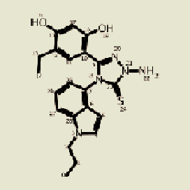 CCCn1ccc2c(-n3c(-c4cc(CC)c(O)cc4O)nn(N)c3=S)cccc21